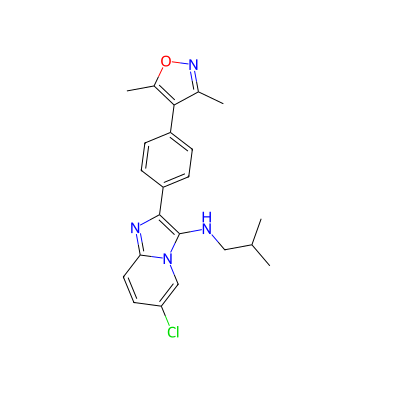 Cc1noc(C)c1-c1ccc(-c2nc3ccc(Cl)cn3c2NCC(C)C)cc1